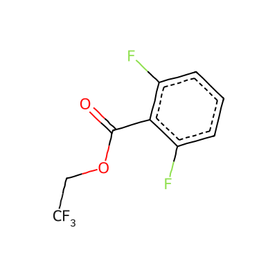 O=C(OCC(F)(F)F)c1c(F)cccc1F